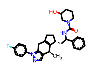 C[C@@H]1C2=C(CC[C@@H]2CC(NC(=O)N2CCCC(O)C2)c2ccccc2)Cc2c1cnn2-c1ccc(F)cc1